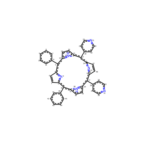 C1=Cc2nc1c(-c1ccccc1)c1ccc([nH]1)c(-c1ccncc1)c1nc(c(-c3ccncc3)c3ccc([nH]3)c2-c2ccccc2)C=C1